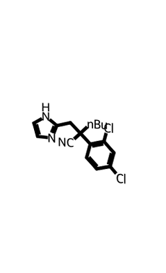 CCCCC(C#N)(Cc1ncc[nH]1)c1ccc(Cl)cc1Cl